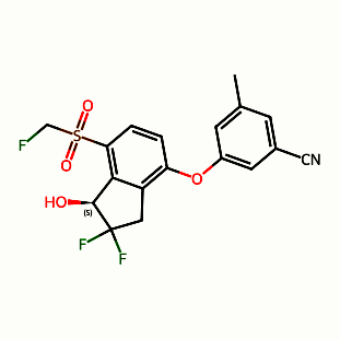 Cc1cc(C#N)cc(Oc2ccc(S(=O)(=O)CF)c3c2CC(F)(F)[C@H]3O)c1